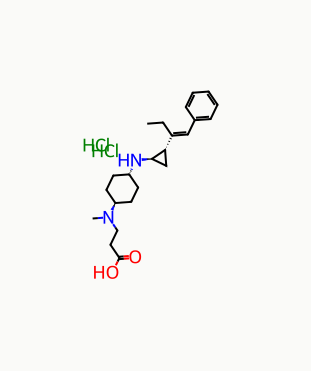 CC/C(=C\c1ccccc1)[C@@H]1C[C@H]1N[C@H]1CC[C@H](N(C)CCC(=O)O)CC1.Cl.Cl